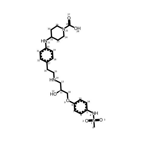 CS(=O)(=O)Nc1ccc(OC[C@@H](O)CNCCc2ccc(NC3CCN(C(=O)O)CC3)cc2)cc1